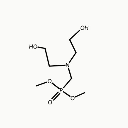 COP(=O)(CN(CCO)CCO)OC